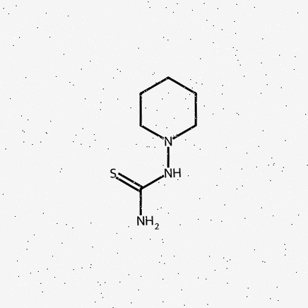 NC(=S)NN1CCCCC1